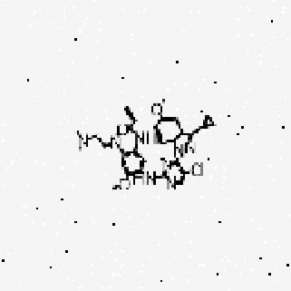 C=CC(=O)Nc1cc(Nc2ncc(Cl)c(N3N=C(C4CC4)C4C=C(OC)C=CC43)n2)c(OC)cc1N(C)CCN(C)C